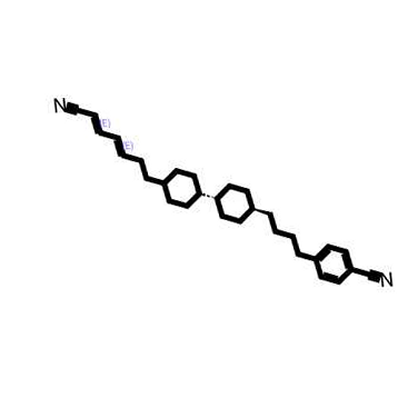 N#C/C=C/C=C/CCC1CCC([C@H]2CC[C@H](CCCCc3ccc(C#N)cc3)CC2)CC1